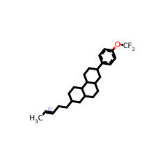 C/C=C/CCC1CCC2C(CCC3CC(c4ccc(OC(F)(F)F)cc4)CCC32)C1